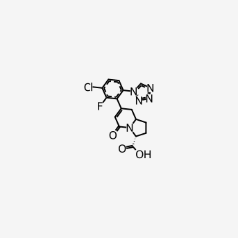 O=C(O)[C@H]1CCC2CC(c3c(-n4cnnn4)ccc(Cl)c3F)=CC(=O)N21